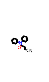 N#CC=CC(=O)N(c1ccccc1)c1ccccc1